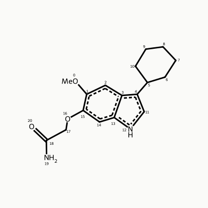 COc1cc2c(C3CCCCC3)c[nH]c2cc1OCC(N)=O